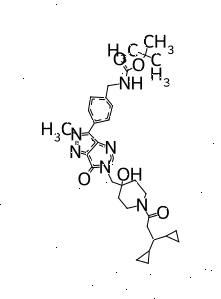 Cn1nc2c(=O)n(CC3(O)CCN(C(=O)CC(C4CC4)C4CC4)CC3)cnc2c1-c1ccc(CNC(=O)OC(C)(C)C)cc1